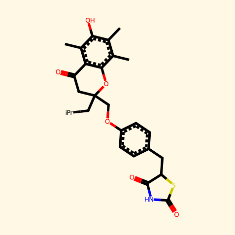 Cc1c(C)c2c(c(C)c1O)C(=O)CC(COc1ccc(CC3SC(=O)NC3=O)cc1)(CC(C)C)O2